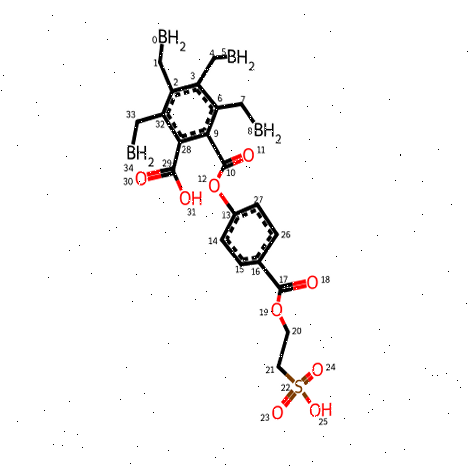 BCc1c(CB)c(CB)c(C(=O)Oc2ccc(C(=O)OCCS(=O)(=O)O)cc2)c(C(=O)O)c1CB